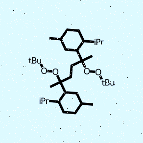 CC1CCC(C(C)C)C(C(C)(CCC(C)(OOC(C)(C)C)C2CC(C)CCC2C(C)C)OOC(C)(C)C)C1